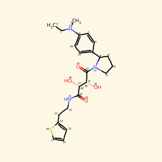 CCN(C)c1ccc(C2CCCN2C(=O)[C@H](O)[C@@H](O)C(=O)NCCc2cccs2)cc1